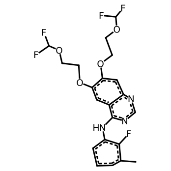 Cc1cccc(Nc2ncnc3cc(OCCOC(F)F)c(OCCOC(F)F)cc23)c1F